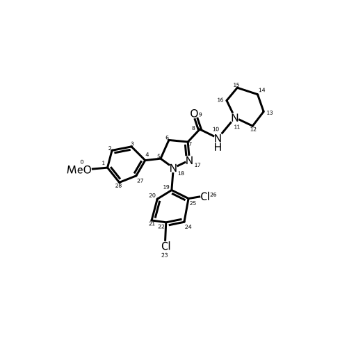 COc1ccc(C2CC(C(=O)NN3CCCCC3)=NN2c2ccc(Cl)cc2Cl)cc1